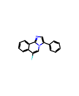 Fc1cn2c(-c3ccccc3)cnc2c2ccccc12